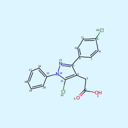 O=C(O)Cc1c(-c2ccc(Cl)cc2)nn(-c2ccccc2)c1Cl